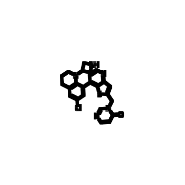 O=c1ccncn1Cc1cc2nccc(-c3cc(Cl)cc4c3N(C3CNC3)CCC4)c2s1